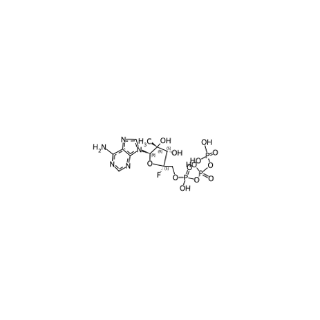 C[C@]1(O)[C@H](n2cnc3c(N)ncnc32)O[C@](F)(COP(=O)(O)OP(=O)(O)OP(=O)(O)O)[C@H]1O